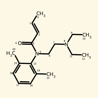 C/C=C/C(=O)N(CCN(CC)CC)c1c(C)cccc1C